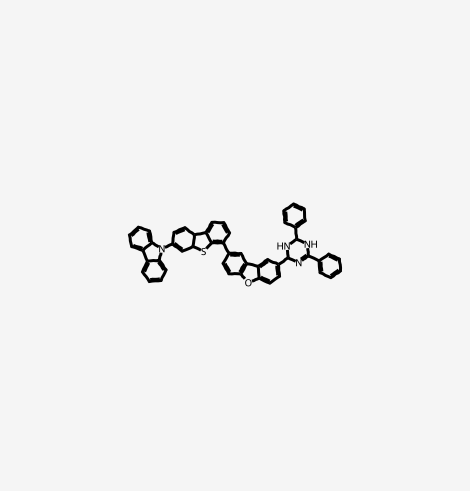 C1=CC2c3cccc(-c4ccc5oc6ccc(C7N=C(c8ccccc8)NC(c8ccccc8)N7)cc6c5c4)c3SC2C=C1n1c2ccccc2c2ccccc21